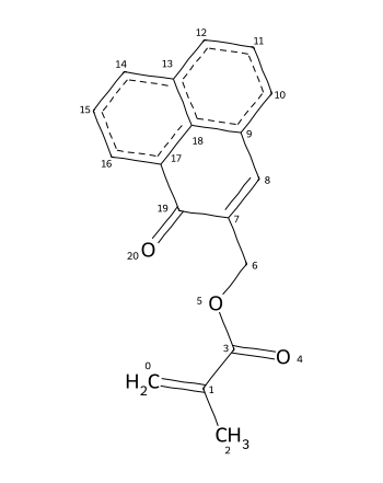 C=C(C)C(=O)OCC1=Cc2cccc3cccc(c23)C1=O